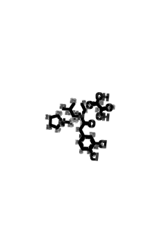 CCN(C(=O)Cc1ccc(Cl)c(Cl)c1)[C@H](CN1CCCC1)C(C)C.O=C(O)C(=O)O